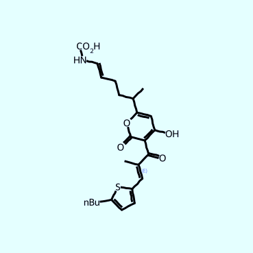 CCCCc1ccc(/C=C(\C)C(=O)c2c(O)cc(C(C)CCC=CNC(=O)O)oc2=O)s1